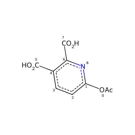 CC(=O)Oc1ccc(C(=O)O)c(C(=O)O)n1